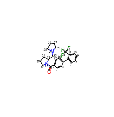 O=C(c1ccc(-c2ccccc2C(F)(F)F)cc1)N1CCCC1CN1CCCC1